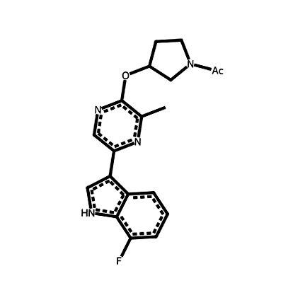 CC(=O)N1CCC(Oc2ncc(-c3c[nH]c4c(F)cccc34)nc2C)C1